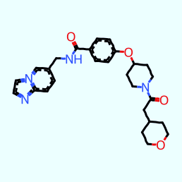 O=C(NCc1ccc2nccn2c1)c1ccc(OC2CCN(C(=O)CC3CCOCC3)CC2)cc1